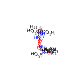 CCN1c2ccccc2C(C)(C)C1/C=C/C1=C(Oc2ccccc2)C(=C/C=C2/N(CCCS(=O)(=O)O)c3ccc(C(=O)NCCOCCOCC(=O)NCCCC[C@H](NC(=O)N[C@@H](CCC(=O)O)C(=O)O)C(=O)O)cc3C2(C)C)/CCC1